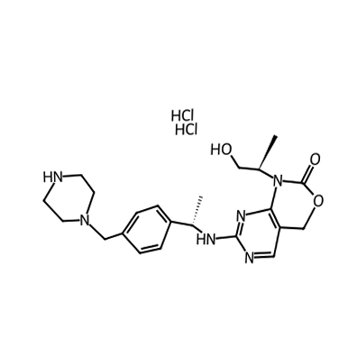 C[C@H](Nc1ncc2c(n1)N([C@H](C)CO)C(=O)OC2)c1ccc(CN2CCNCC2)cc1.Cl.Cl